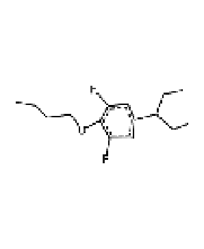 CCCCOc1c(F)cc(C(CC)CC)cc1F